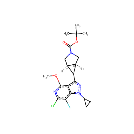 COc1nc(Cl)c(F)c2c1c(C1[C@H]3CN(C(=O)OC(C)(C)C)C[C@@H]13)nn2C1CC1